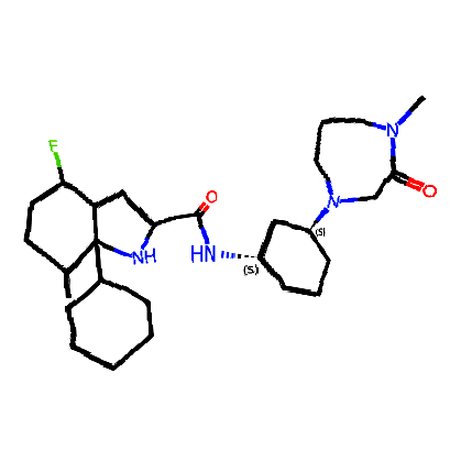 CC1CCC(F)C2CC(C(=O)N[C@H]3CCC[C@H](N4CCCN(C)C(=O)C4)C3)NC12C1CCCCC1